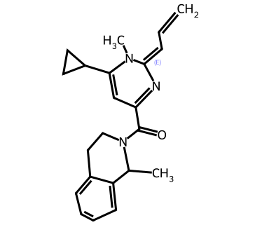 C=C/C=C1/N=C(C(=O)N2CCc3ccccc3C2C)C=C(C2CC2)N1C